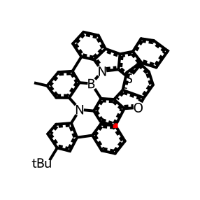 Cc1cc2c3c(c1)N(c1ccc(C(C)(C)C)cc1-c1ccccc1)c1ccc4oc5ccccc5c4c1B3n1c3sc4ccccc4c3c3cccc-2c31